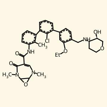 CCOc1cc(-c2cccc(-c3cccc(NC(=O)C4=CN(C)C5OC5N(C)C4=O)c3C)c2Cl)ccc1CN[C@@H]1CCOC[C@@H]1O